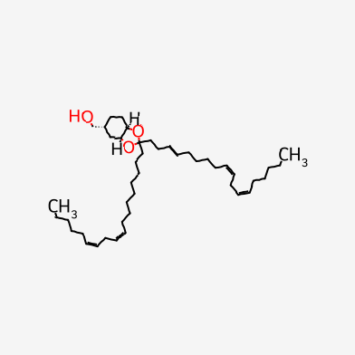 CCCCC/C=C\C/C=C\CCCCCCCCC1(CCCCCCCC/C=C\C/C=C\CCCCC)O[C@H]2CC[C@@H](CO)C[C@H]2O1